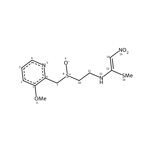 COc1cccnc1C[S+]([O-])CCNC(=C[N+](=O)[O-])SC